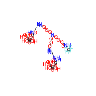 O=C(CCOCCOCCOCCN(CCOCCOCCOCCn1cc(CCCCCC(=O)Nc2ccc(O[C@H]3O[C@H](CCP(=O)(O)O)[C@@H](O)[C@H](O)[C@@H]3O)cc2)nn1)CCOCCOCCOCCn1cc(CCCCNC(=O)Nc2ccc(O[C@H]3O[C@H](CCP(=O)(O)O)[C@@H](O)[C@H](O)[C@@H]3O)cc2)nn1)NCCc1c(F)c(F)c(F)c(F)c1F